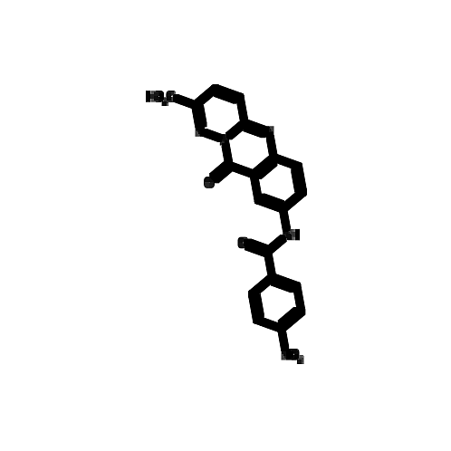 O=C(Nc1ccc2nc3ccc(C(=O)O)nn3c(=O)c2c1)c1ccc([N+](=O)[O-])cc1